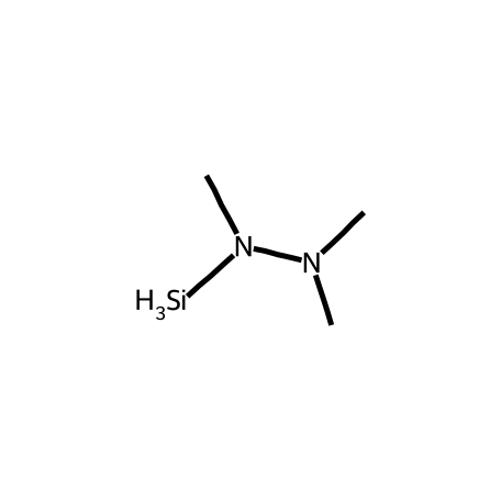 CN(C)N(C)[SiH3]